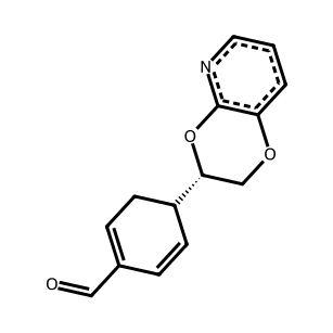 O=CC1=CCC([C@H]2COc3cccnc3O2)C=C1